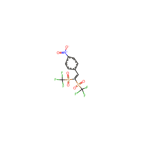 O=[N+]([O-])c1ccc(C=C(S(=O)(=O)C(F)(F)F)S(=O)(=O)C(F)(F)F)cc1